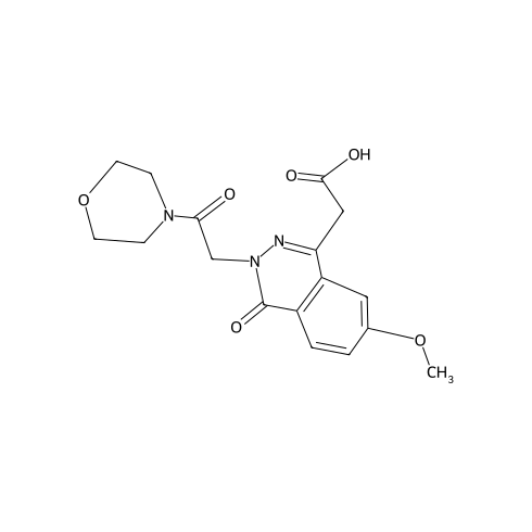 COc1ccc2c(=O)n(CC(=O)N3CCOCC3)nc(CC(=O)O)c2c1